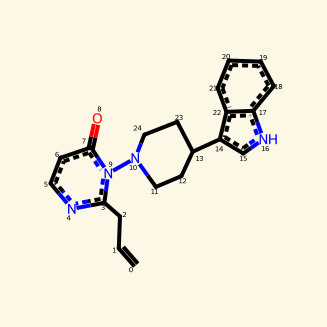 C=CCc1nccc(=O)n1N1CCC(c2c[nH]c3ccccc23)CC1